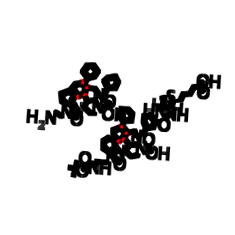 CC(C)(C)OC(=O)NCCn1c(=O)n(C2CCN(C(=O)O)[C@H](N(Cc3ccccc3)Cc3ccccc3)C2CCCc2ccccc2)c2ccccc21.NCCn1c(=O)n(C2CCN(C(=O)O)[C@H](N(Cc3ccccc3)Cc3ccccc3)C2CCCc2ccccc2)c2ccccc21.O=C(O)CCCC[C@@H]1SC[C@@H]2NC(=O)N[C@@H]21